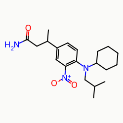 CC(C)CN(c1ccc(C(C)CC(N)=O)cc1[N+](=O)[O-])C1CCCCC1